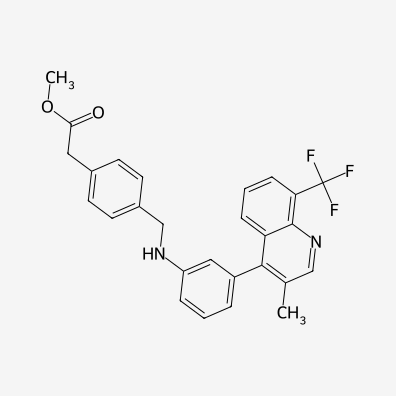 COC(=O)Cc1ccc(CNc2cccc(-c3c(C)cnc4c(C(F)(F)F)cccc34)c2)cc1